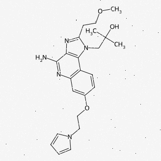 COCCc1nc2c(N)nc3cc(OCCn4cccc4)ccc3c2n1CC(C)(C)O